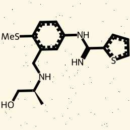 CSc1ccc(NC(=N)c2cccs2)cc1CN[C@@H](C)CO